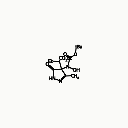 CCOC(=O)C(CC)C1(N(O)C(=O)OC(C)(C)C)C(=O)NN=C1C